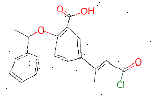 CC(=CC(=O)Cl)c1ccc(OC(C)c2ccccc2)c(C(=O)O)c1